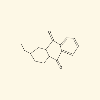 CCC1CCC2C(=O)c3ccccc3C(=O)C2C1